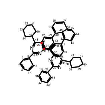 c1ccc(-c2nc(-c3cccc(-c4cccc5cccc(-c6cccc(-c7nc(-c8ccccc8)nc(C8CCCCC8)n7)c6)c45)c3)nc(C3CCCCC3)n2)cc1